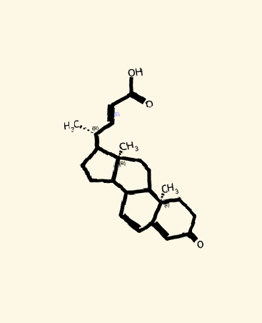 C[C@H](/C=C/C(=O)O)C1CCC2C3C=CC4=CC(=O)CC[C@]4(C)C3CC[C@@]21C